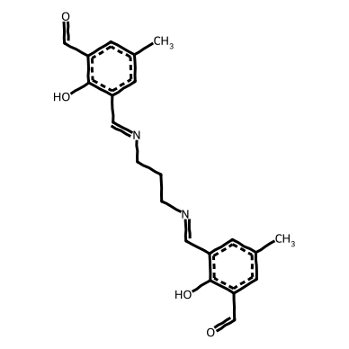 Cc1cc(C=O)c(O)c(C=NCCCN=Cc2cc(C)cc(C=O)c2O)c1